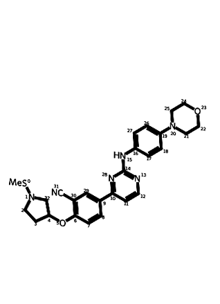 CSN1CCC(Oc2ccc(-c3ccnc(Nc4ccc(N5CCOCC5)cc4)n3)cc2C#N)C1